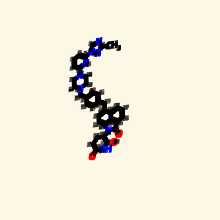 Cc1ncn(-c2cccc(N3CCN(Cc4ccc(Cc5ccc6c7c(cccc57)C(=O)N6C5CCC(=O)NC5=O)cc4)CC3)n2)n1